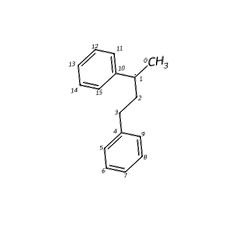 C[C](CCc1ccccc1)c1ccccc1